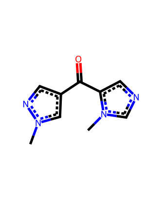 Cn1cc(C(=O)c2cncn2C)cn1